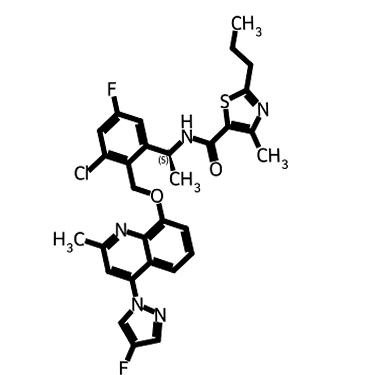 CCCc1nc(C)c(C(=O)N[C@@H](C)c2cc(F)cc(Cl)c2COc2cccc3c(-n4cc(F)cn4)cc(C)nc23)s1